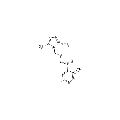 Cc1ncc([N+](=O)[O-])n1CCOC(=O)c1ccccc1O